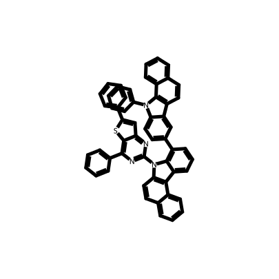 c1ccc(-c2cc3nc(-n4c5ccc6ccccc6c5c5cccc(-c6ccc7c(c6)c6ccc8ccccc8c6n7-c6ccccc6)c54)nc(-c4ccccc4)c3s2)cc1